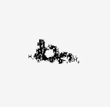 CO[C@@H](C)c1ncc(N2CCN3CCOC[C@@H]3C2)cc1-c1c2c3cc(ccc3n1CC(F)(F)F)N1CCO[C@@H](C[C@H](NC(=O)[C@H](C3CCCC3)N3CC[C@]4(CCN(C(=O)OC(C)(C)C)C4)C3)C(=O)N3CCC[C@H](N3)C(=O)OCC(C)(C)C2)C1